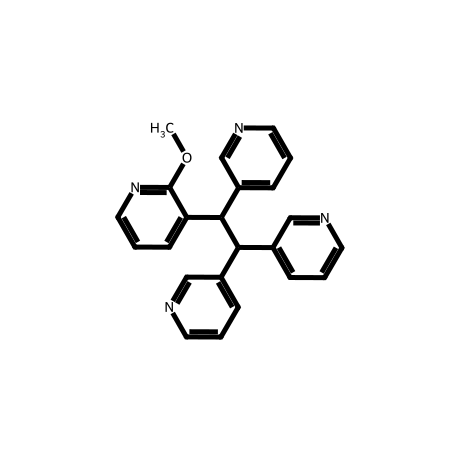 COc1ncccc1C(c1cccnc1)C(c1cccnc1)c1cccnc1